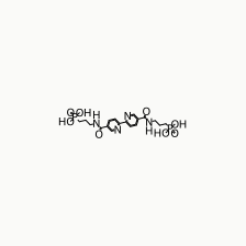 O=C(NCCCP(=O)(O)O)c1ccc(-c2ccc(C(=O)NCCCP(=O)(O)O)cn2)nc1